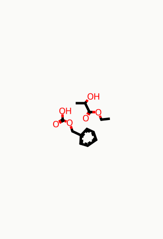 CCOC(=O)C(C)O.O=C(O)OCc1ccccc1